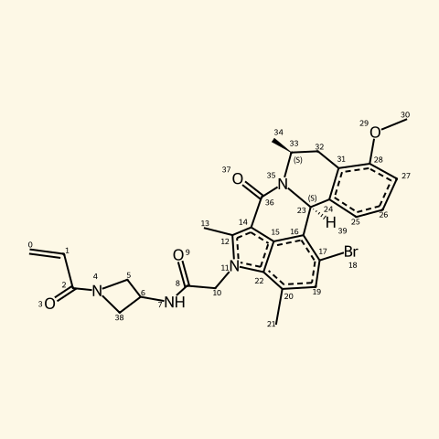 C=CC(=O)N1CC(NC(=O)Cn2c(C)c3c4c(c(Br)cc(C)c42)[C@@H]2c4cccc(OC)c4C[C@H](C)N2C3=O)C1